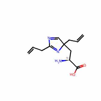 C=CCC1=NC(CC=C)(C[C@H](N)C(=O)O)C=N1